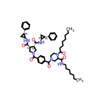 CCCCCCCNC(=O)C1CN(C(=O)c2ccc(C(=O)N3C[C@@H](C(=O)N[C@H]4C[C@@H]4c4ccccc4)[C@H](C(=O)N[C@H]4C[C@@H]4c4ccccc4)C3)cc2)CCN1C(=O)CCCCCCC